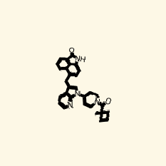 CC1(C(=O)N2CCC(n3cc(Cc4ccc5c6c(cccc46)C(=O)N5)c4cccnc43)CC2)CCC1